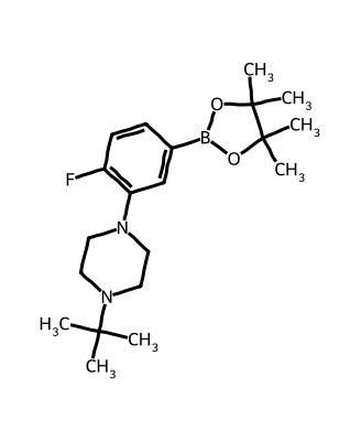 CC(C)(C)N1CCN(c2cc(B3OC(C)(C)C(C)(C)O3)ccc2F)CC1